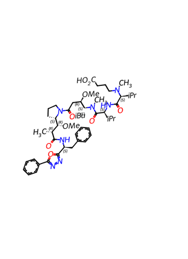 CC[C@H](C)[C@@H]([C@@H](CC(=O)N1CCC[C@H]1[C@H](OC)[C@@H](C)C(=O)N[C@@H](Cc1ccccc1)c1nnc(-c2ccccc2)o1)OC)N(C)C(=O)[C@@H](NC(=O)[C@H](C(C)C)N(C)CCCC(=O)O)C(C)C